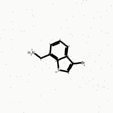 NCc1cccc2c(Br)csc12